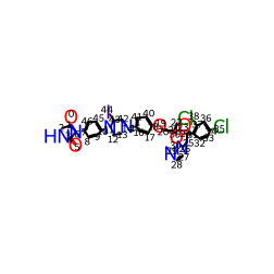 O=C1CNC(=O)N1c1ccc(N2CCN(c3ccc(OCC4COC(Cn5ccnc5)(c5ccc(Cl)cc5Cl)O4)cc3)CC2I)cc1